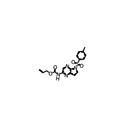 C=CCOC(=O)Nc1cnc2c(ccn2S(=O)(=O)c2ccc(C)cc2)n1